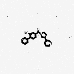 N#Cc1cc(C(=O)N2CCC(c3cccnc3)C2)ccc1-c1ccccc1